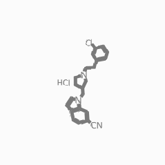 Cl.N#Cc1ccc2ccn(CC3CCN(CCc4cccc(Cl)c4)C3)c2c1